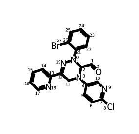 O=CC1N(c2ccc(Cl)nc2)CC(c2ccccn2)=NN1c1ccccc1Br